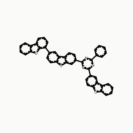 c1ccc(-c2nc(-c3ccc4c(c3)sc3ccc(-c5cccc6c5oc5ccccc56)cc34)nc(-c3ccc4oc5ccccc5c4c3)n2)cc1